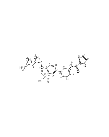 CC(C)CC(C)COc1ccc(-c2ccnc(NC(=O)c3nccs3)c2)cc1C(F)(F)F